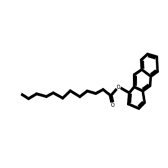 CCCCCCCCCCCC(=O)Oc1cccc2cc3ccccc3cc12